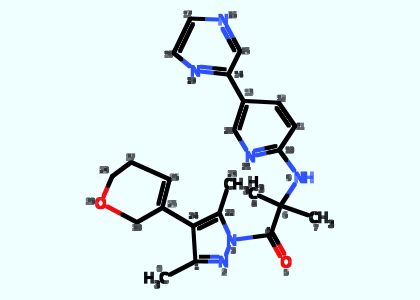 Cc1nn(C(=O)C(C)(C)Nc2ccc(-c3cnccn3)cn2)c(C)c1C1=CCCOC1